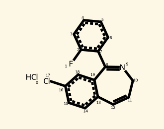 Cl.Fc1ccccc1C1=NCC=Cc2ccc(Cl)cc21